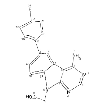 Nc1ncnc2c1c1cc(-c3ccc(F)cc3)ccc1n2CC(=O)O